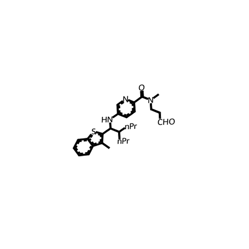 CCCC(CCC)C(Nc1ccc(C(=O)N(C)CCC=O)nc1)c1sc2ccccc2c1C